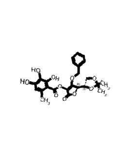 Cc1cc(O)c(O)c(O)c1C(=O)OC1=C(OCc2ccccc2)[C@@H]([C@@H]2COC(C)(C)O2)OC1=O